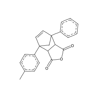 Cc1ccc(C23C=CC(c4ccccc4)(C2)C2C(=O)OC(=O)C23)cc1